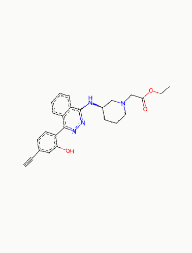 C#Cc1ccc(-c2nnc(N[C@@H]3CCCN(CC(=O)OCC)C3)c3ccccc23)c(O)c1